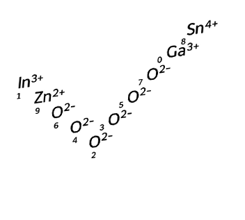 [Ga+3].[In+3].[O-2].[O-2].[O-2].[O-2].[O-2].[O-2].[Sn+4].[Zn+2]